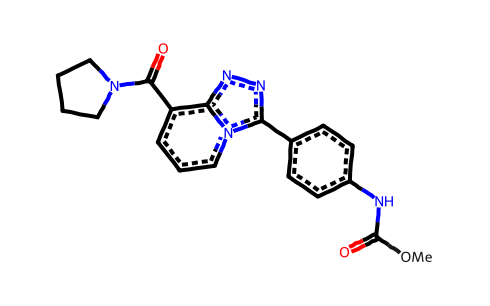 COC(=O)Nc1ccc(-c2nnc3c(C(=O)N4CCCC4)cccn23)cc1